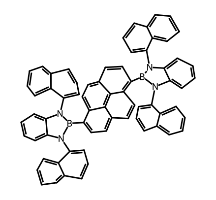 c1ccc2c(c1)N(c1cccc3ccccc13)B(c1ccc3ccc4c(B5N(c6cccc7ccccc67)c6ccccc6N5c5cccc6ccccc56)ccc5ccc1c3c54)N2c1cccc2ccccc12